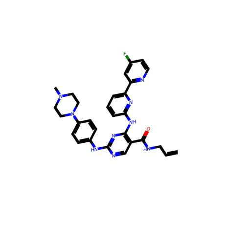 C=CCNC(=O)c1cnc(Nc2ccc(N3CCN(C)CC3)cc2)nc1Nc1cccc(-c2cc(F)ccn2)n1